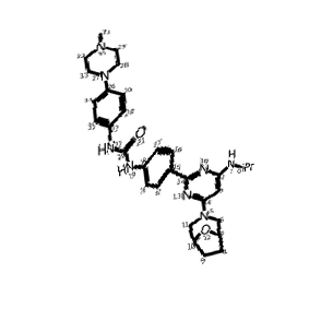 CC(C)Nc1cc(N2CC3CCC(C2)O3)nc(-c2ccc(NC(=O)Nc3ccc(N4CCN(C)CC4)cc3)cc2)n1